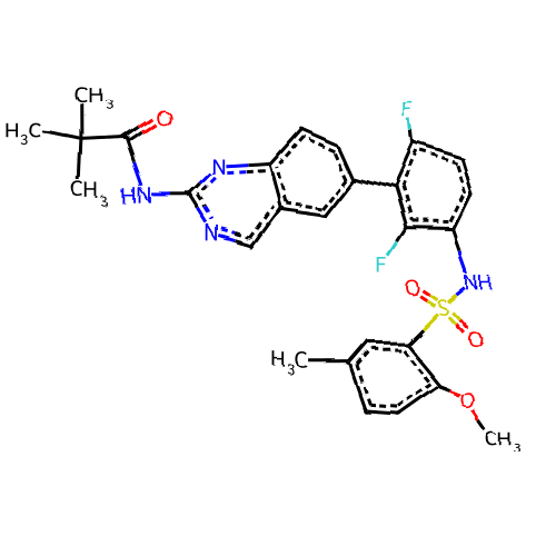 COc1ccc(C)cc1S(=O)(=O)Nc1ccc(F)c(-c2ccc3nc(NC(=O)C(C)(C)C)ncc3c2)c1F